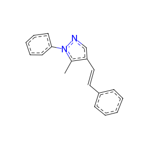 Cc1c(/C=C/c2ccccc2)cnn1-c1ccccc1